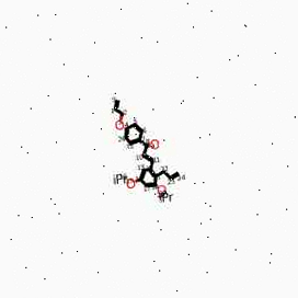 C=CCOc1ccc(C(=O)C=Cc2cc(OC(C)C)cc(OC(C)C)c2CC=C)cc1